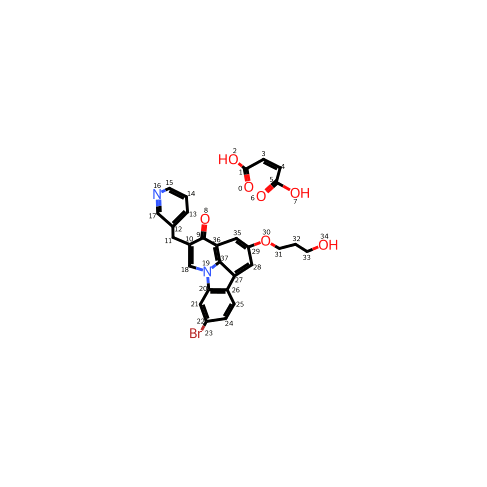 O=C(O)/C=C\C(=O)O.O=c1c(Cc2cccnc2)cn2c3cc(Br)ccc3c3cc(OCCCO)cc1c32